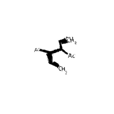 C=CC(C(C)=O)C(C=C)C(C)=O